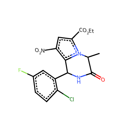 CCOC(=O)c1cc([N+](=O)[O-])c2n1C(C)C(=O)NC2c1cc(F)ccc1Cl